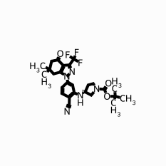 CC1(C)CC(=O)c2c(C(F)(F)F)nn(-c3ccc(C#N)c(N[C@H]4CCN(C(=O)OC(C)(C)C)C4)c3)c2C1